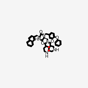 O=C1N[C@@H](Cc2ccc3ccccc3c2)C(=O)N(Cc2ccc(Oc3ccccc3)cc2)[C@H]1CN(CC1CCNCC1)C(=O)C1CCCNC1